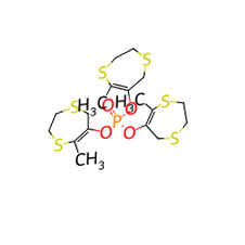 CC1=C(OP(=O)(OC2=C(C)SCCSC2)OC2=C(C)SCCSC2)CSCCS1